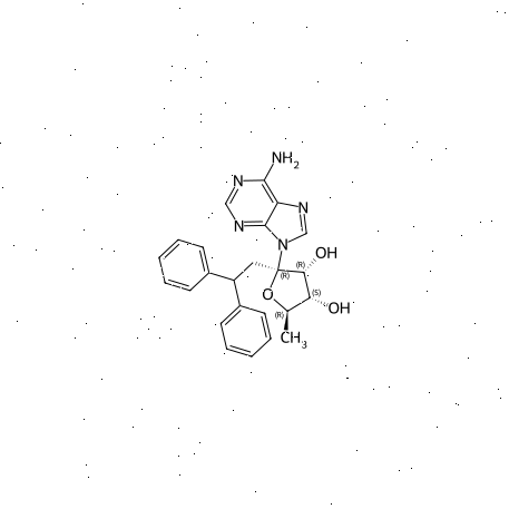 C[C@H]1O[C@@](CC(c2ccccc2)c2ccccc2)(n2cnc3c(N)ncnc32)[C@H](O)[C@@H]1O